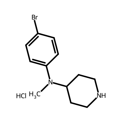 CN(c1ccc(Br)cc1)C1CCNCC1.Cl